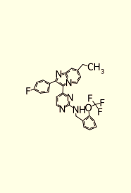 CCc1ccn2c(-c3ccnc(NCc4ccccc4OC(F)(F)F)n3)c(-c3ccc(F)cc3)nc2c1